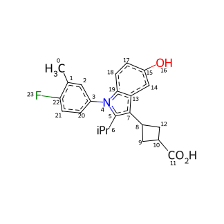 Cc1cc(-n2c(C(C)C)c(C3CC(C(=O)O)C3)c3cc(O)ccc32)ccc1F